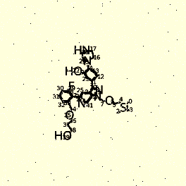 C[Si](C)(C)CCOCn1nc(-c2ccc(N3CCNCC3)c(O)c2)c2cc(-c3c(F)cccc3COCCCO)ncc21